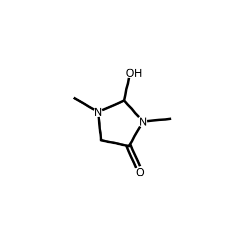 CN1CC(=O)N(C)C1O